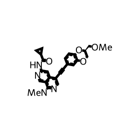 CNc1ncc(C#Cc2ccc3c(c2)OC[C@H](COC)O3)c2cc(NC(=O)C3CC3)ncc12